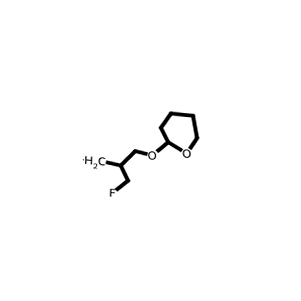 [CH2]C(CF)COC1CCCCO1